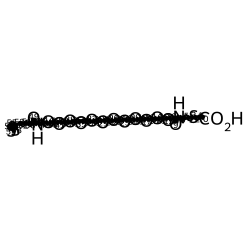 O=C(O)CCSCCCNC(=O)COCCOCCOCCOCCOCCOCCOCCOCCOCCOCCOCCOCCNC(=O)CCCC[C@@H]1CCSS1